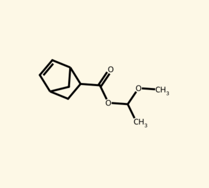 COC(C)OC(=O)C1CC2C=CC1C2